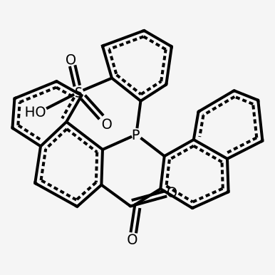 O=Cc1ccc2ccccc2c1P(c1ccccc1S(=O)(=O)O)c1c(C=O)ccc2ccccc12